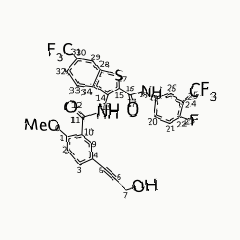 COc1ccc(C#CCO)cc1C(=O)Nc1c(C(=O)Nc2ccc(F)c(C(F)(F)F)c2)sc2cc(C(F)(F)F)ccc12